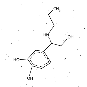 CCCNC(CO)c1ccc(O)c(O)c1